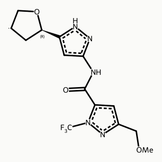 COCc1cc(C(=O)Nc2cc([C@H]3C[CH]CO3)[nH]n2)n(C(F)(F)F)n1